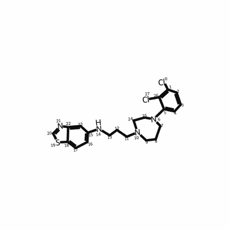 Clc1cccc(N2CCCN(CCCNc3ccc4scnc4c3)CC2)c1Cl